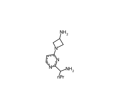 CCCC(N)c1nccc(N2CC(N)C2)n1